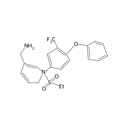 CCS(=O)(=O)[N+]1(c2ccc(Oc3ccccc3)c(C(F)(F)F)c2)C=C(CN)C=CC1